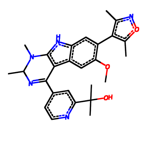 COc1cc2c3c([nH]c2cc1-c1c(C)noc1C)N(C)C(C)N=C3c1ccnc(C(C)(C)O)c1